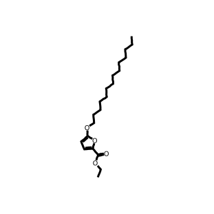 CCCCCCCCCCCCCCOc1ccc(C(=O)OCC)o1